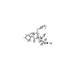 NCC(=O)NC(C(=O)N[C@H]1CN(S(=O)(=O)O)C1=O)c1ccccc1